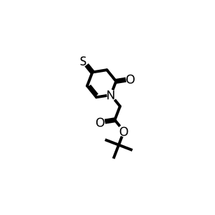 CC(C)(C)OC(=O)CN1C=CC(=S)CC1=O